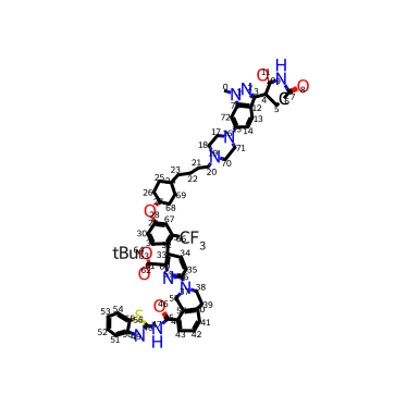 Cn1nc(C2CCC(=O)NC2=O)c2ccc(N3CCN(CCCCC4CCC(Oc5ccc(-c6ccc(N7CCc8cccc(C(=O)Nc9nc%10ccccc%10s9)c8C7)nc6C(=O)OC(C)(C)C)c(C(F)(F)F)c5)CC4)CC3)cc21